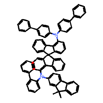 CC1(C)c2ccccc2-c2ccc(N(c3ccccc3-c3ccccc3)c3cccc4c3-c3ccccc3C43c4ccccc4-c4c(N(c5ccc(-c6ccccc6)cc5)c5ccc(-c6ccccc6)cc5)cccc43)cc21